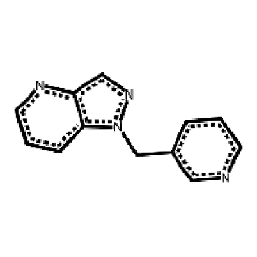 c1cncc(Cn2ncc3ncccc32)c1